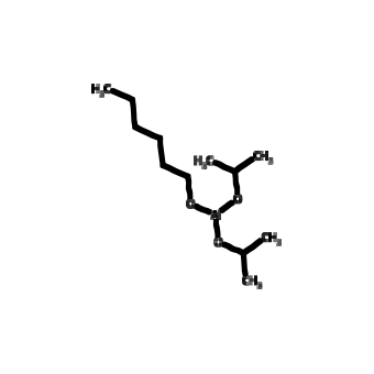 CCCCCC[O][Al]([O]C(C)C)[O]C(C)C